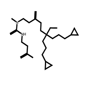 C=C(C)CCNC(=C)N(C)CCC(=C)CCC(CC)(CCCC1CC1)CCCC1CC1